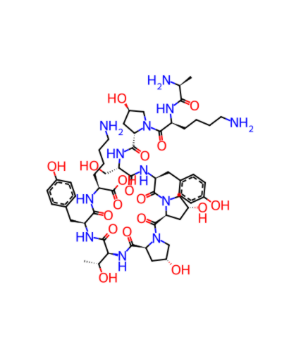 C[C@H](N)C(=O)N[C@@H](CCCCN)C(=O)N1C[C@H](O)C[C@H]1C(=O)N[C@@H](CO)C(=O)N[C@@H](Cc1ccc(O)cc1)C(=O)N1C[C@H](O)C[C@H]1C(=O)N1C[C@H](O)C[C@H]1C(=O)N[C@H](C(=O)N[C@@H](Cc1ccc(O)cc1)C(=O)N[C@@H](CCCCN)C(=O)O)[C@@H](C)O